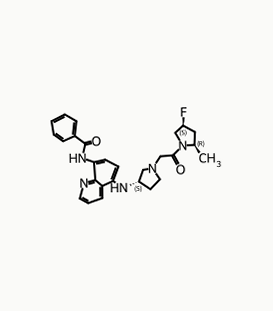 C[C@@H]1C[C@H](F)CN1C(=O)CN1CC[C@H](Nc2ccc(NC(=O)c3ccccc3)c3ncccc23)C1